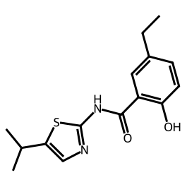 CCc1ccc(O)c(C(=O)Nc2ncc(C(C)C)s2)c1